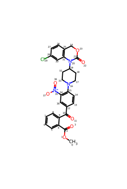 COC(=O)c1ccccc1C(=O)c1ccc(N2CCC(N3C(=O)OCc4ccc(Cl)cc43)CC2)c([N+](=O)[O-])c1